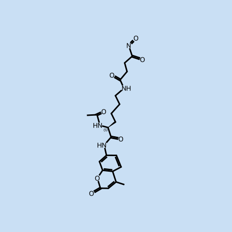 CC(=O)N[C@@H](CCCCNC(=O)CCC(=O)N=O)C(=O)Nc1ccc2c(C)cc(=O)oc2c1